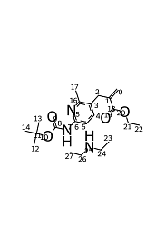 C=C(Cc1ccc(NC(=O)OC(C)(C)C)nc1C)C(=O)OCC.CCNCC